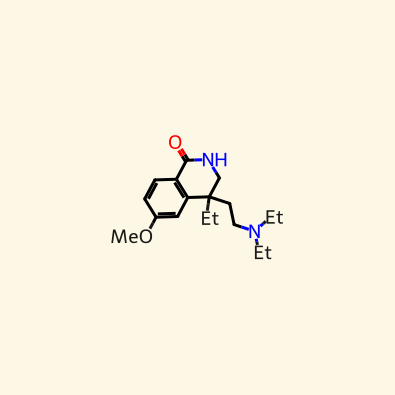 CCN(CC)CCC1(CC)CNC(=O)c2ccc(OC)cc21